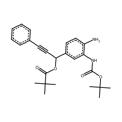 CC(C)(C)OC(=O)Nc1cc(C(C#Cc2ccccc2)OC(=O)C(C)(C)C)ccc1N